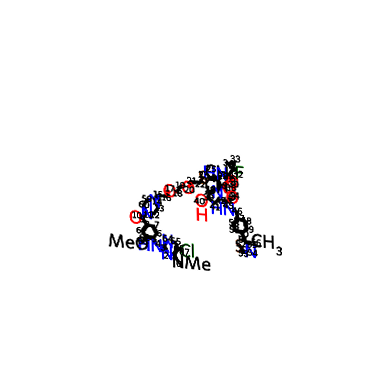 CNc1nc(Nc2ccc(C(=O)N3CCN(CCOCCOCCSC(C)(C)[C@H](NC(=O)C4(F)CC4)C(=O)N4C[C@H](O)C[C@@H]4C(=O)NCc4ccc(-c5scnc5C)cc4)CC3)cc2OC)ncc1Cl